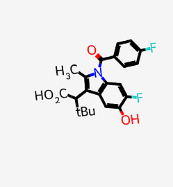 Cc1c(C(C(=O)O)C(C)(C)C)c2cc(O)c(F)cc2n1C(=O)c1ccc(F)cc1